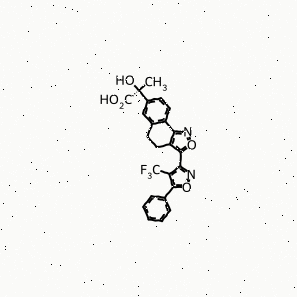 C[C@@](O)(C(=O)O)c1ccc2c(c1)CCc1c-2noc1-c1noc(-c2ccccc2)c1C(F)(F)F